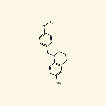 Cc1ccc2c(c1)CCCN2Cc1ccc(OC(F)(F)F)cc1